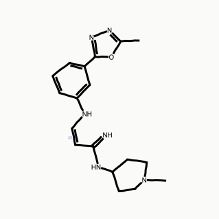 Cc1nnc(-c2cccc(N/C=C\C(=N)NC3CCN(C)CC3)c2)o1